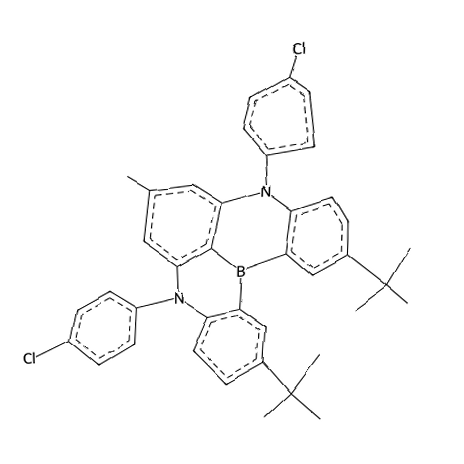 Cc1cc2c3c(c1)N(c1ccc(Cl)cc1)c1ccc(C(C)(C)C)cc1B3c1cc(C(C)(C)C)ccc1N2c1ccc(Cl)cc1